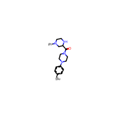 CC(C)N1CCNC(C(=O)N2CCN(c3ccc(C(C)(C)C)cc3)CC2)C1